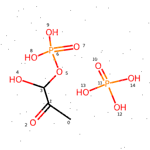 CC(=O)C(O)OP(=O)(O)O.O=P(O)(O)O